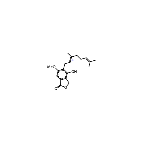 COc1cc2c(c(O)c1C/C=C(\C)CCC=C(C)C)COC2=O